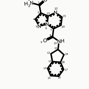 NC(=O)c1cnn2c(C(=O)NC3Cc4ccccc4C3)ccnc12